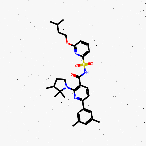 Cc1cc(C)cc(-c2ccc(C(=O)NS(=O)(=O)c3cccc(OCCC(C)C)n3)c(N3CCC(C)C3(C)C)n2)c1